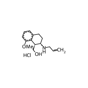 C=CCN[C@@H]1CCc2cccc(OC)c2[C@@H]1CO.Cl